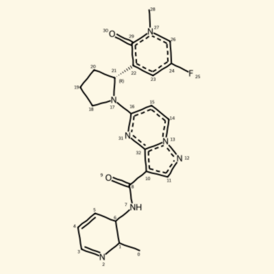 CC1N=CC=CC1NC(=O)c1cnn2ccc(N3CCC[C@@H]3c3cc(F)cn(C)c3=O)nc12